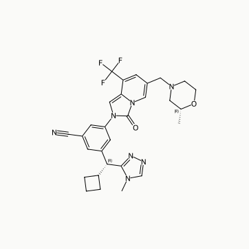 C[C@@H]1CN(Cc2cc(C(F)(F)F)c3cn(-c4cc(C#N)cc([C@H](c5nncn5C)C5CCC5)c4)c(=O)n3c2)CCO1